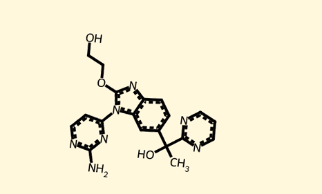 CC(O)(c1ccc2nc(OCCO)n(-c3ccnc(N)n3)c2c1)c1ncccn1